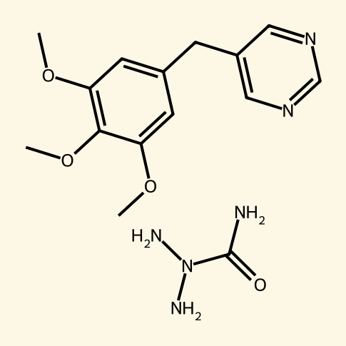 COc1cc(Cc2cncnc2)cc(OC)c1OC.NC(=O)N(N)N